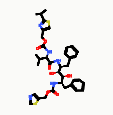 CC(C)c1nc(COC(=O)N[C@H](C(=O)N[C@@H](Cc2ccccc2)[C@@H](O)[C@H](O)[C@H](Cc2ccccc2)NC(=O)OCc2cncs2)C(C)C)cs1